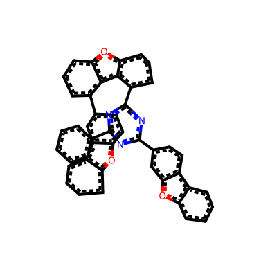 c1ccc(-c2nc(-c3ccc4c(c3)oc3ccccc34)nc(-c3cccc4oc5cccc(-c6ccc7oc8ccccc8c7c6)c5c34)n2)cc1